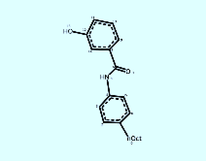 CCCCCCCCc1ccc(NC(=O)c2cccc(O)c2)cc1